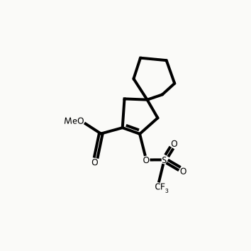 COC(=O)C1=C(OS(=O)(=O)C(F)(F)F)CC2(CCCCC2)C1